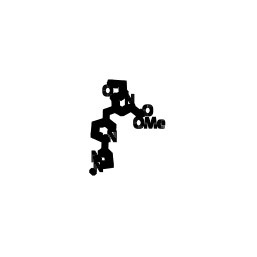 COC(=O)c1cc(Cc2ccc(-c3ccn(C)n3)nc2)c2occc2n1